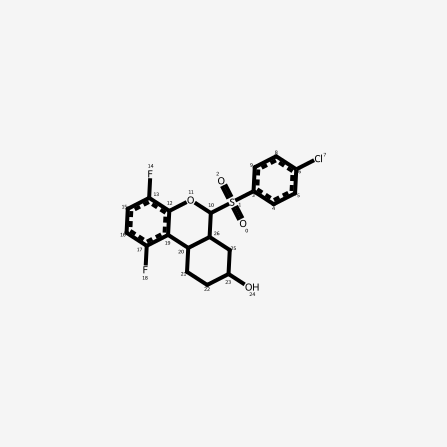 O=S(=O)(c1ccc(Cl)cc1)C1Oc2c(F)ccc(F)c2C2CCC(O)CC21